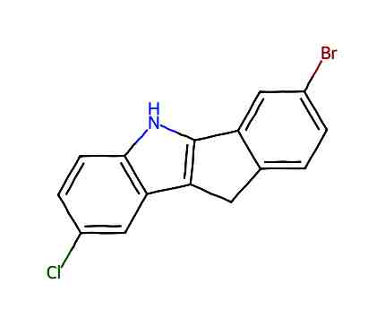 Clc1ccc2[nH]c3c(c2c1)Cc1ccc(Br)cc1-3